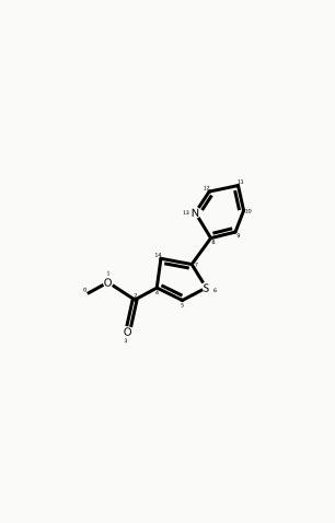 COC(=O)c1csc(-c2ccccn2)c1